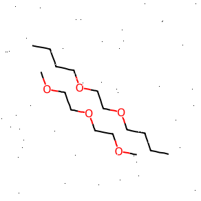 CCCCOCCOCCCC.COCCOCCOC